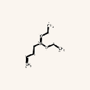 C=CCC[Si](OCC)OCC